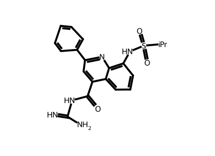 CC(C)S(=O)(=O)Nc1cccc2c(C(=O)NC(=N)N)cc(-c3ccccc3)nc12